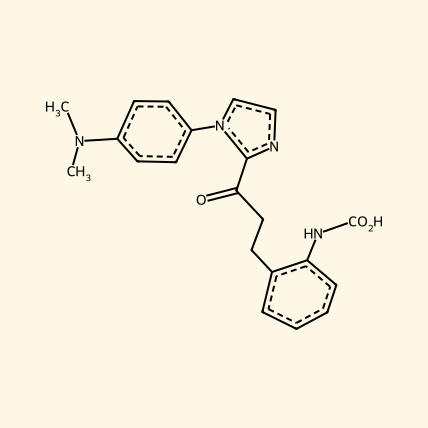 CN(C)c1ccc(-n2ccnc2C(=O)CCc2ccccc2NC(=O)O)cc1